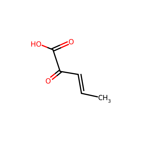 CC=CC(=O)C(=O)O